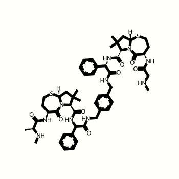 CNCC(=O)N[C@H]1CCS[C@H]2CC(C)(C)[C@@H](C(=O)N[C@H](C(=O)NCc3ccc(CNC(=O)C(NC(=O)[C@H]4N5C(=O)[C@@H](NC(=O)[C@H](C)NC)CCS[C@H]5CC4(C)C)c4ccccc4)cc3)c3ccccc3)N2C1=O